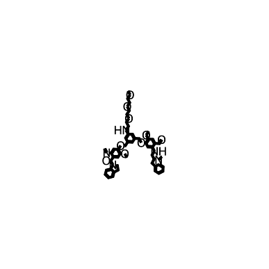 C=Nc1cc(OCc2cc(COc3cc(NCC4Cc5ccccc5N4C)c(C=O)cc3OC)cc(NCCOCCOCCOC)c2)c(OC)cc1C(=O)N1CCc2ccccc21